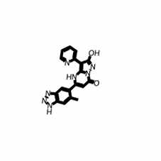 Cc1cc2[nH]nnc2cc1-c1cc(=O)n2nc(O)c(-c3ccccn3)c2[nH]1